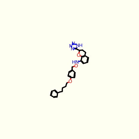 c1ccc(CCCCOc2ccc(CONc3cccc4c3OC(c3nnn[nH]3)CC4)cc2)cc1